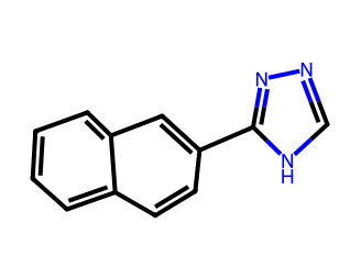 c1ccc2cc(-c3nnc[nH]3)ccc2c1